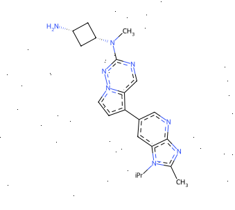 Cc1nc2ncc(-c3ccn4nc(N(C)[C@H]5C[C@@H](N)C5)ncc34)cc2n1C(C)C